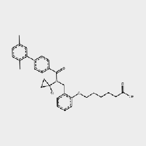 [2H]C1(N(Cc2ccccc2OCCCCCC(=O)O)C(=O)c2ccc(-c3cc(C)ccc3C)cc2)CC1